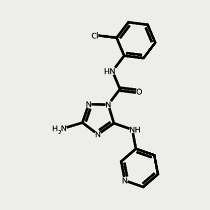 Nc1nc(Nc2cccnc2)n(C(=O)Nc2ccccc2Cl)n1